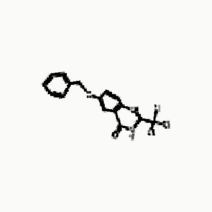 O=C1NC(C(Cl)(Cl)Cl)Oc2ccc(OCc3ccccc3)cc21